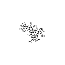 CC1=NC2[C@@H](O)[C@H](O[C@@H]3OC(CO[C@H]4OC(CO)[C@@H](O)[C@H](O)C4O)[C@@H](O)[C@H](O[C@H]4O[C@@H](CO)[C@@H](O)C(O)C4O[C@H]4O[C@@H](CO)[C@@H](O)C(O)C4O)C3O)C(CO)O[C@@H]2C1